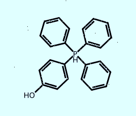 Oc1ccc([PH](c2ccccc2)(c2ccccc2)c2ccccc2)cc1